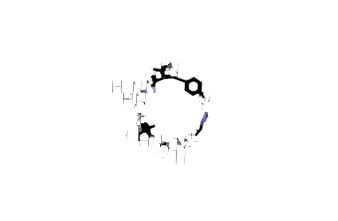 Cc1cc2cc(Cl)c1NC(=O)CNCCC/C=C/COc1ccc(cc1)-c1noc(C)c1C(=O)/N=C(\N)NC2